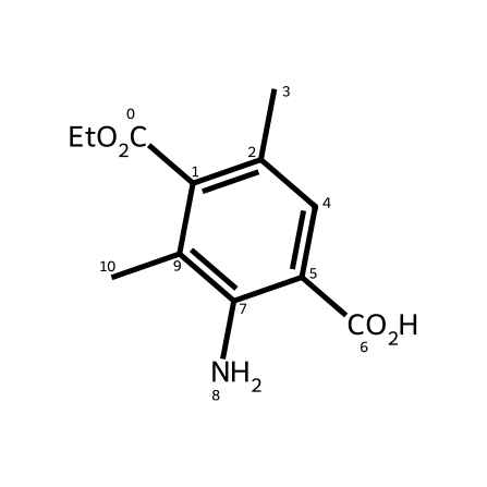 CCOC(=O)c1c(C)cc(C(=O)O)c(N)c1C